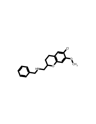 COc1cc2c(cc1Cl)CCC(CNCc1ccccc1)O2